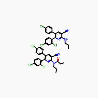 CCCN(C(=O)CC)c1nc(-c2ccc(Cl)cc2Cl)c(-c2ccc(Cl)cc2)cc1C#N.CCCNc1nc(-c2ccc(Cl)cc2Cl)c(-c2ccc(Cl)cc2)cc1C#N